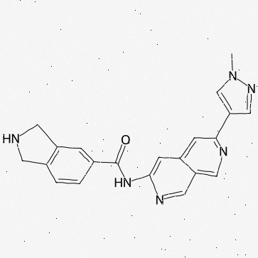 Cn1cc(-c2cc3cc(NC(=O)c4ccc5c(c4)CNC5)ncc3cn2)cn1